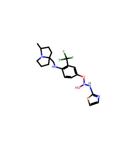 CC1CCC2(CNc3ccc(ON(O)Nc4nccs4)cc3C(F)(F)F)CCCN12